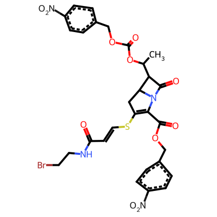 CC(OC(=O)OCc1ccc([N+](=O)[O-])cc1)C1C(=O)N2C(C(=O)OCc3ccc([N+](=O)[O-])cc3)=C(S/C=C/C(=O)NCCBr)CC12